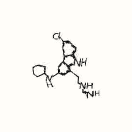 N=CNCCc1cc(NC2CCCCC2)cc2c1[nH]c1ccc(Cl)cc12